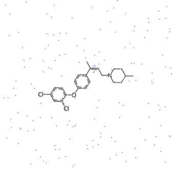 C/C(=C/CN1CCC(C)CC1)c1ccc(Oc2ccc(Cl)cc2Cl)cc1